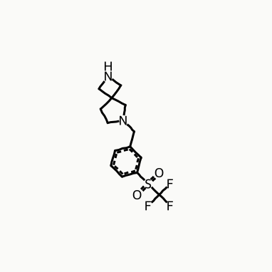 O=S(=O)(c1cccc(CN2CCC3(CNC3)C2)c1)C(F)(F)F